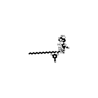 CCCCCCCCCCCCCCCCCC[C@@H](COP(=O)(O)OC1[C@@]2(C#N)O[C@@H](c3ccc4c(N)ncnn34)[C@H](O)[C@@]12O)Oc1cc(F)cc(C#N)c1